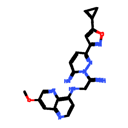 COc1cnc2c(NCC(=N)n3nc(-c4cc(C5CC5)on4)ccc3=N)ccnc2c1